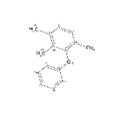 Cc1ccc(C)c(Oc2cc[c]cc2)c1C